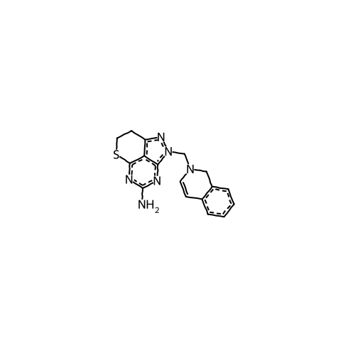 Nc1nc2c3c(nn(CN4C=Cc5ccccc5C4)c3n1)CCS2